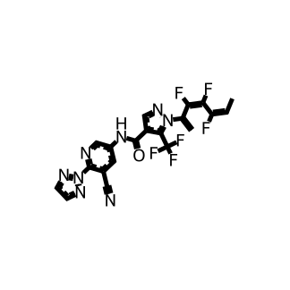 C=C(/C(F)=C(F)\C(F)=C/C)n1ncc(C(=O)Nc2cnc(-n3nccn3)c(C#N)c2)c1C(F)(F)F